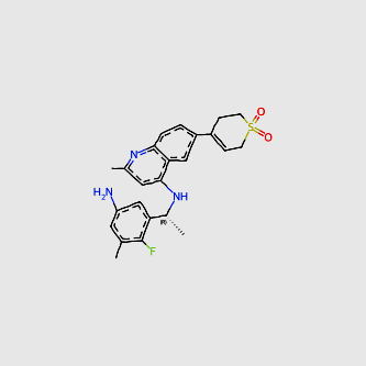 Cc1cc(N[C@H](C)c2cc(N)cc(C)c2F)c2cc(C3=CCS(=O)(=O)CC3)ccc2n1